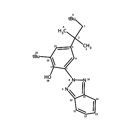 CC(C)(C)CC(C)(C)c1cc(-n2nc3ccccc3n2)c(O)c(C(C)(C)C)c1